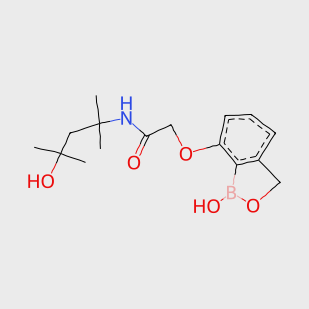 CC(C)(O)CC(C)(C)NC(=O)COc1cccc2c1B(O)OC2